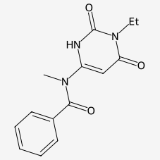 CCn1c(=O)cc(N(C)C(=O)c2ccccc2)[nH]c1=O